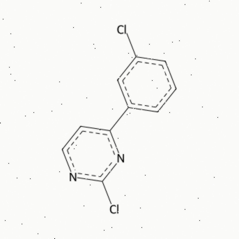 Clc1cccc(-c2ccnc(Cl)n2)c1